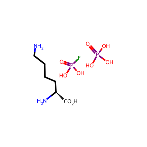 NCCCC[C@H](N)C(=O)O.O=P(O)(O)F.O=P(O)(O)O